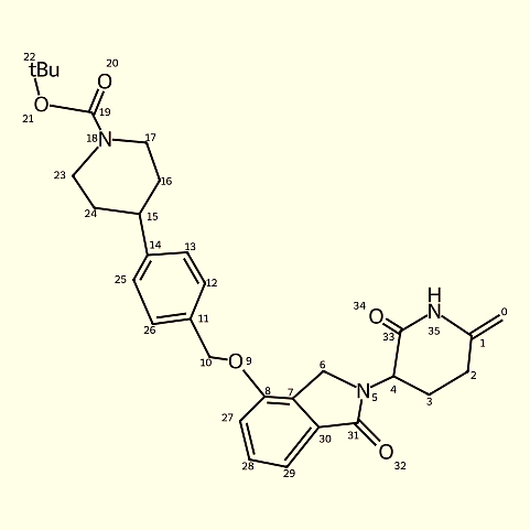 C=C1CCC(N2Cc3c(OCc4ccc(C5CCN(C(=O)OC(C)(C)C)CC5)cc4)cccc3C2=O)C(=O)N1